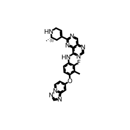 Cc1c(Oc2ccn3ncnc3c2)ccc(Nc2ncnc3cnc(C4=CCN[C@@H](C)C4)nc23)c1F